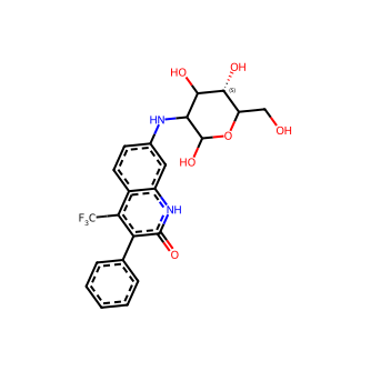 O=c1[nH]c2cc(NC3C(O)OC(CO)[C@@H](O)C3O)ccc2c(C(F)(F)F)c1-c1ccccc1